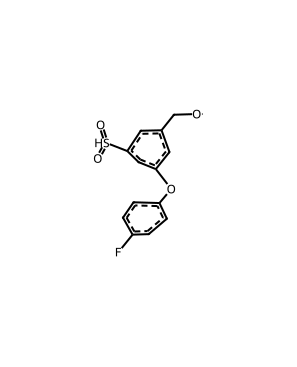 [O]Cc1cc(Oc2ccc(F)cc2)cc([SH](=O)=O)c1